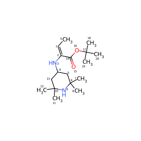 CC=C(NC1CC(C)(C)NC(C)(C)C1)C(=O)OC(C)(C)C